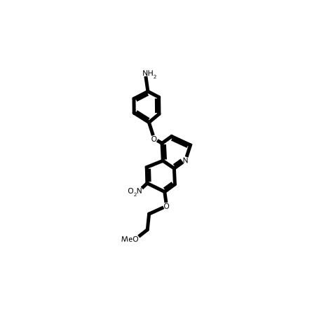 COCCOc1cc2nccc(Oc3ccc(N)cc3)c2cc1[N+](=O)[O-]